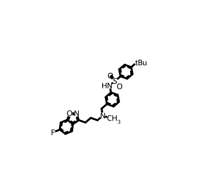 CN(CCCc1noc2cc(F)ccc12)Cc1cccc(NS(=O)(=O)c2ccc(C(C)(C)C)cc2)c1